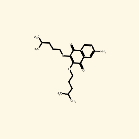 CC(C)CCCOC1=C(OCCCC(C)C)C(=O)c2cc(N)ccc2C1=O